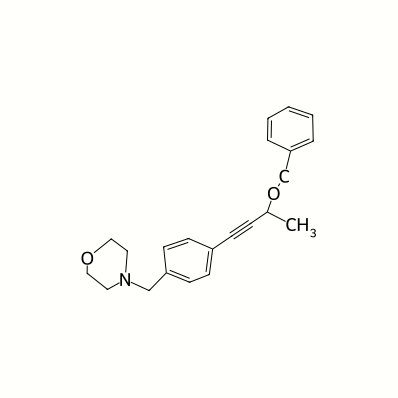 CC(C#Cc1ccc(CN2CCOCC2)cc1)OCc1ccccc1